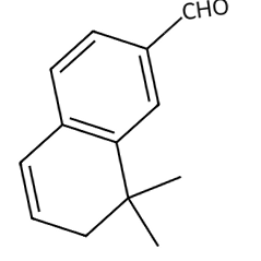 CC1(C)CC=Cc2ccc(C=O)cc21